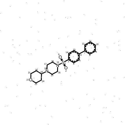 O=S(=O)(c1ccc(-c2ccccc2)cc1)N1CCN(C2CCOCC2)CC1